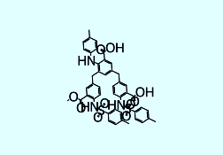 COC(=O)c1cc(Cc2cc(Cc3ccc(NS(=O)(=O)c4ccc(C)cc4)c(C(=O)O)c3)cc(C(=O)O)c2Nc2ccc(C)cc2)ccc1NS(=O)(=O)c1ccc(C)cc1